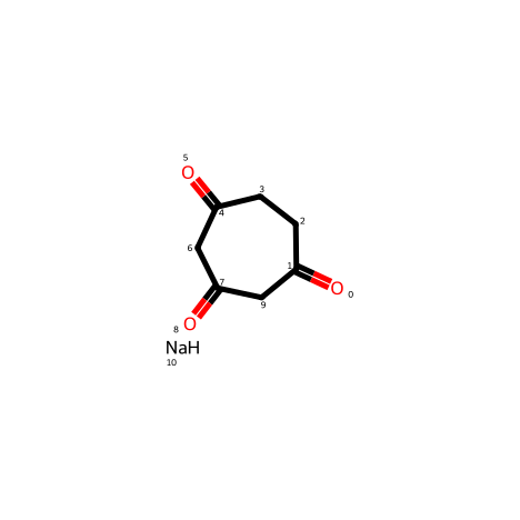 O=C1CCC(=O)CC(=O)C1.[NaH]